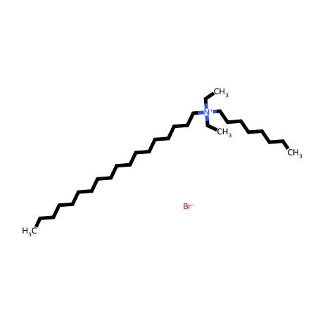 CCCCCCCCCCCCCCCCCC[N+](CC)(CC)CCCCCCCC.[Br-]